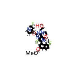 CCc1c(F)ccc2cc(OCOC)cc(-c3nc4c5c(nc(OC[C@@]67CCCN6C[C@H](F)C7)nc5c3F)N(CCO)CCO4)c12